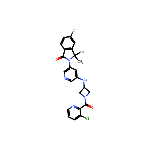 CC1(C)c2cc(Cl)ccc2C(=O)N1c1cncc(NC2CN(C(=O)c3ncccc3Cl)C2)c1